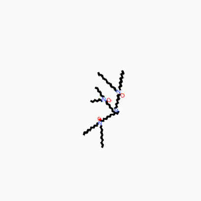 CCCCCCCCCCN(CCCCCCCCCC)C(=O)CCCCCCCN1CCC1(CCCCCCCC(=O)N(CCCCCCCCCC)CCCCCCCCCC)CCCCCC(=O)N(CCCCCC)CCCCCC